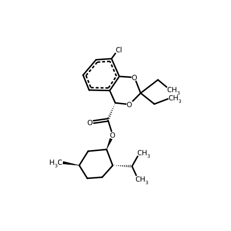 CCC1(CC)Oc2c(Cl)cccc2[C@@H](C(=O)O[C@@H]2C[C@H](C)CC[C@H]2C(C)C)O1